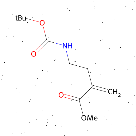 C=C(CCNC(=O)OC(C)(C)C)C(=O)OC